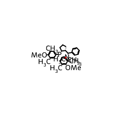 COc1c(C)cc(P(c2cc(C)c(OC)c(C)c2)C2CCC[C@@H]2[C@@H](c2ccccc2)N(C)C)cc1C